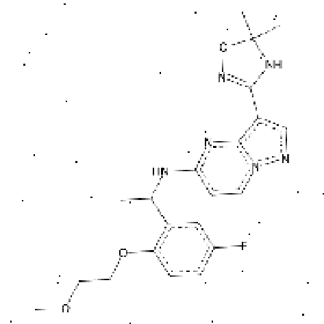 COCCOc1ccc(F)cc1C(C)Nc1ccn2ncc(C3=NOC(C)(C)N3)c2n1